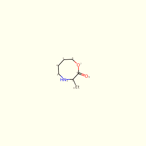 CCC1NCCCCOC1=O